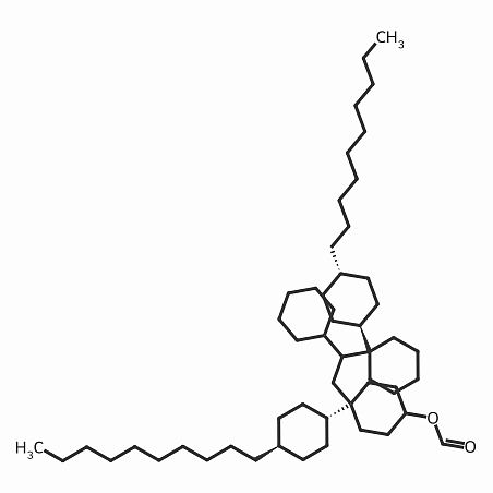 CCCCCCCCCC[C@H]1CC[C@H](C2(CC(C3CCCCC3)C3([C@H]4CC[C@H](CCCCCCCCCC)CC4)CCCCC3)CCC(OC=O)CC2)CC1